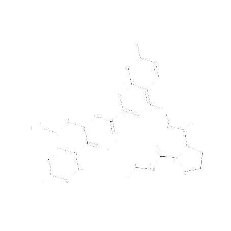 CCOC(=O)N1CCN(C(=O)C(CCC(=O)O)NC(=O)c2cc(OCC(=O)N3CCCC3C(=O)NCC(F)(F)F)c3ccc(C)cc3n2)CC1